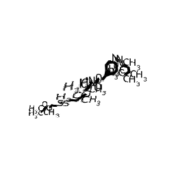 CC(C)C(C)CC(C)(C)n1nnc2c1CCC1C(CC2)C1COC(=O)NC(C)(C)COC(C)(C)CCSSCCOC(=O)C(C)(C)C